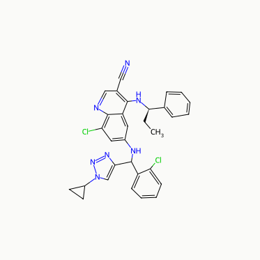 CC[C@@H](Nc1c(C#N)cnc2c(Cl)cc(NC(c3cn(C4CC4)nn3)c3ccccc3Cl)cc12)c1ccccc1